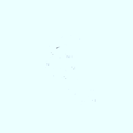 N=C(Nc1ccc(S(=O)(=O)C(F)(F)F)cc1)/C(=C\N[C@H]1CCCC[C@@H]1C1=NC1)C(N)=O